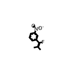 CC(C)=C(F)c1cccc([N+](=O)[O-])c1